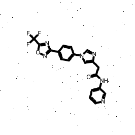 O=C(Cc1cn(-c2ccc(-c3noc(C(F)(F)F)n3)cc2)cn1)Nc1cccnc1